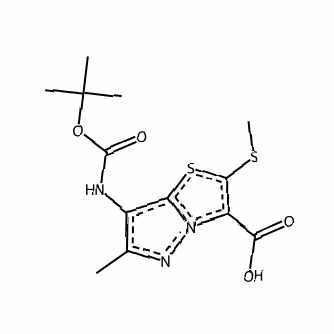 CSc1sc2c(NC(=O)OC(C)(C)C)c(C)nn2c1C(=O)O